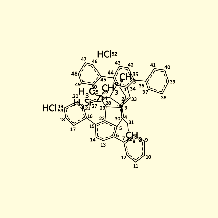 CCCC1=Cc2c(-c3ccccc3)ccc(-c3ccccc3)c2[CH]1[Zr]([CH3])([CH3])(=[SiH2])[CH]1C(CCC)=Cc2c(-c3ccccc3)ccc(-c3ccccc3)c21.Cl.Cl